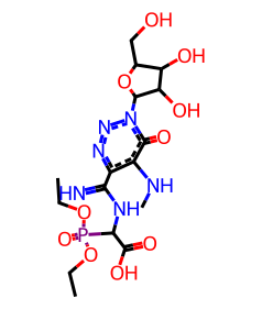 CCOP(=O)(OCC)C(NC(=N)c1nnn(C2OC(CO)C(O)C2O)c(=O)c1NC)C(=O)O